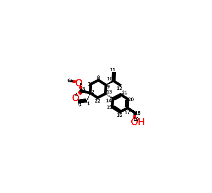 C=C[C@]1(C(=O)OC)CC[C@@H](C(=C)C)[C@H](c2ccc(CO)cc2)C1